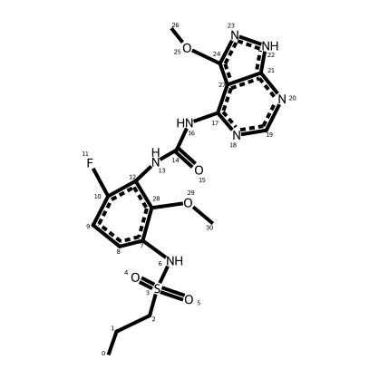 CCCS(=O)(=O)Nc1ccc(F)c(NC(=O)Nc2ncnc3[nH]nc(OC)c23)c1OC